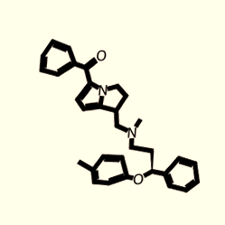 Cc1ccc(O[C@@H](CCN(C)CC2CCn3c(C(=O)c4ccccc4)ccc32)c2ccccc2)cc1